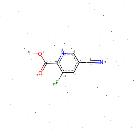 COC(=O)c1ncc(C#N)cc1F